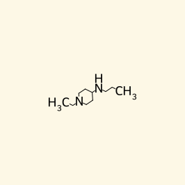 CCCNC1CCN(CC)CC1